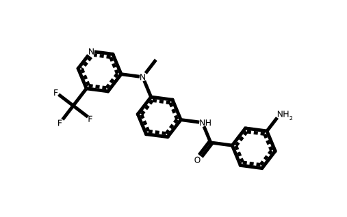 CN(c1cccc(NC(=O)c2cccc(N)c2)c1)c1cncc(C(F)(F)F)c1